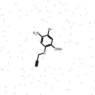 C#CCOc1cc([N+](=O)[O-])c(C(C)=O)cc1OC